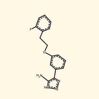 Nc1[nH]nnc1-c1cccc(OCCc2ccccc2F)c1